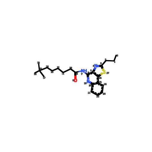 CCCc1nc2c(NC(=O)CCCCCC(C)(C)C)nc3ccccc3c2s1